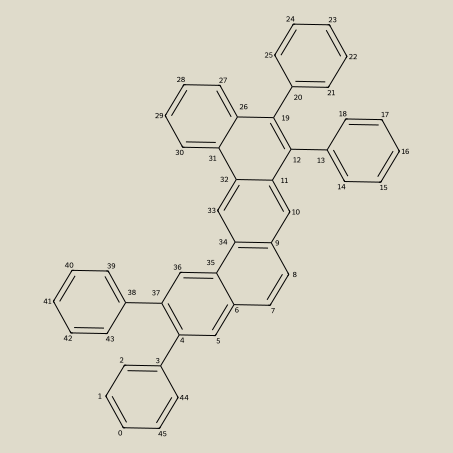 c1ccc(-c2cc3ccc4cc5c(-c6ccccc6)c(-c6ccccc6)c6ccccc6c5cc4c3cc2-c2ccccc2)cc1